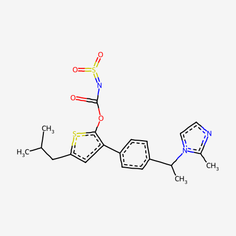 Cc1nccn1C(C)c1ccc(-c2cc(CC(C)C)sc2OC(=O)N=S(=O)=O)cc1